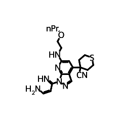 CCCOCCNc1cc(C2(C#N)CCSCC2)c2cnn(C(=N)/C=C\N)c2n1